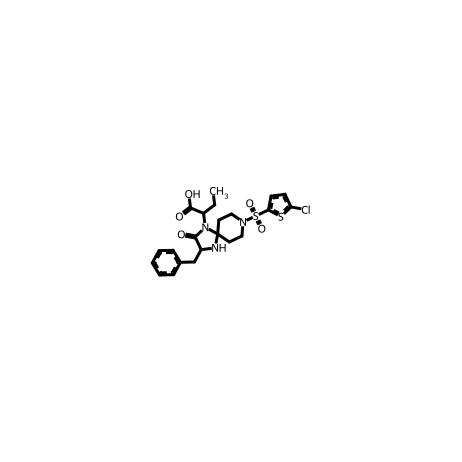 CCC(C(=O)O)N1C(=O)C(Cc2ccccc2)NC12CCN(S(=O)(=O)c1ccc(Cl)s1)CC2